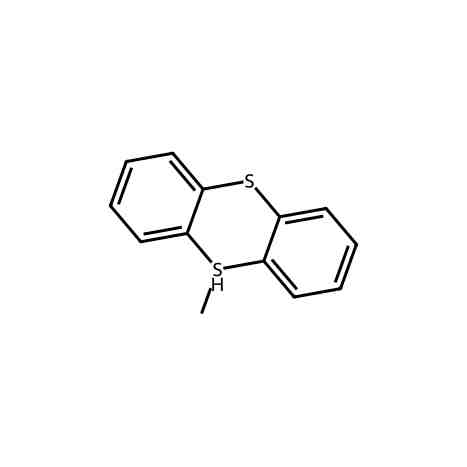 C[SH]1c2ccccc2Sc2ccccc21